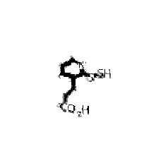 O=C(O)CCc1cccnc1SS